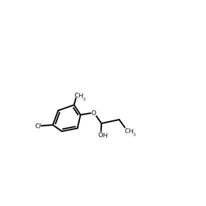 CCC(O)Oc1ccc(Cl)cc1C